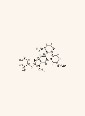 COC1CCN(C2=NC=CC(N)N2c2cc3nc(Cc4ccccc4F)n(C)c3cn2)CC1